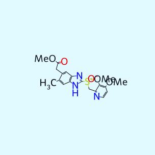 COC(=O)Cc1cc2nc([S+]([O-])Cc3nccc(OC)c3OC)[nH]c2cc1C